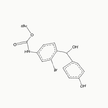 CC(C)(C)OC(=O)Nc1ccc(C(O)c2ccc(O)cc2)c(Br)c1